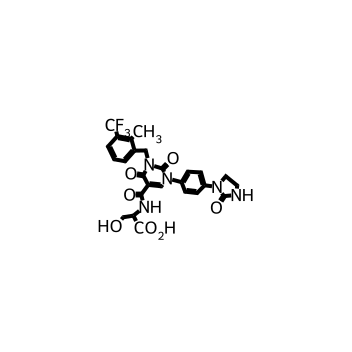 Cc1c(Cn2c(=O)c(C(=O)NC(CO)C(=O)O)cn(-c3ccc(N4CCNC4=O)cc3)c2=O)cccc1C(F)(F)F